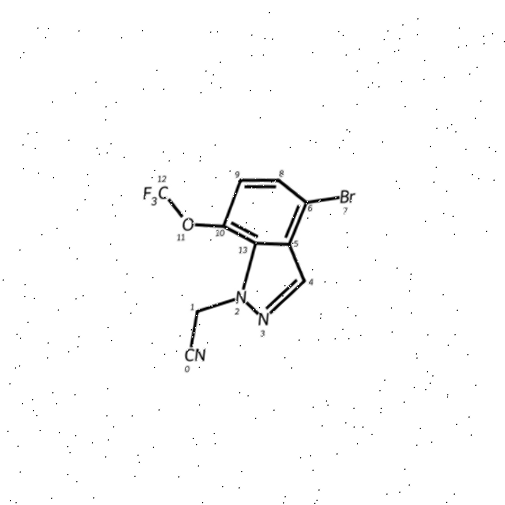 N#CCn1ncc2c(Br)ccc(OC(F)(F)F)c21